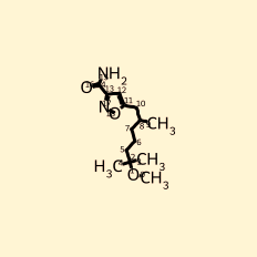 COC(C)(C)CCCC(C)Cc1cc(C(N)=O)no1